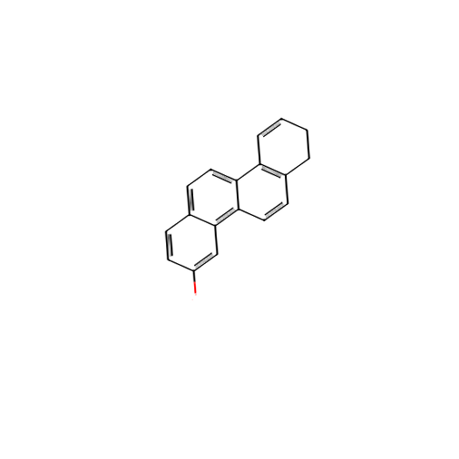 [O]c1ccc2ccc3c4c(ccc3c2c1)CCC=C4